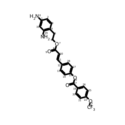 Nc1ccc(CCOC(=O)/C=C/c2ccc(OC(=O)c3ccc(OC(F)(F)F)cc3)cc2)c(N)c1